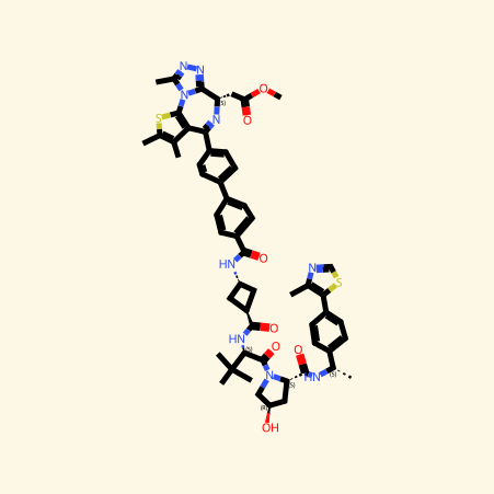 COC(=O)C[C@@H]1N=C(c2ccc(-c3ccc(C(=O)N[C@H]4C[C@H](C(=O)N[C@H](C(=O)N5C[C@H](O)C[C@H]5C(=O)N[C@@H](C)c5ccc(-c6scnc6C)cc5)C(C)(C)C)C4)cc3)cc2)c2c(sc(C)c2C)-n2c(C)nnc21